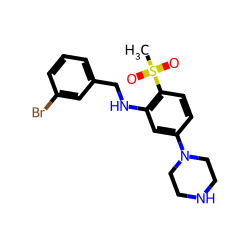 CS(=O)(=O)c1ccc(N2CCNCC2)cc1NCc1cccc(Br)c1